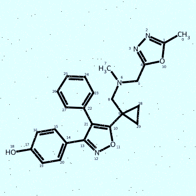 Cc1nnc(CN(C)CC2(c3onc(-c4ccc(O)cc4)c3-c3ccccc3)CC2)o1